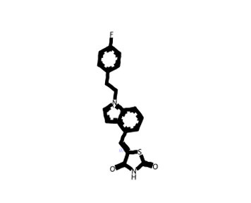 O=C1NC(=O)/C(=C/c2cccc3c2ccn3CCc2ccc(F)cc2)S1